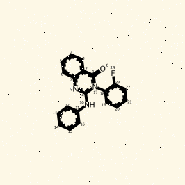 O=c1c2ccccc2nc(Nc2ccccc2)n1-c1ccccc1F